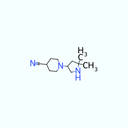 CC1(C)CC(N2CCC(C#N)CC2)CN1